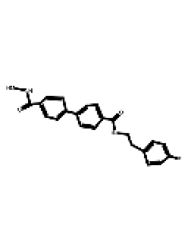 O=C(NO)c1ccc(-c2ccc(C(=O)NCCc3ccc(F)cc3)cc2)cc1